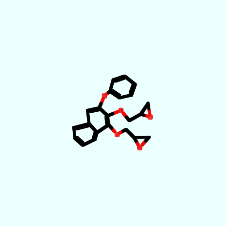 c1ccc(Oc2cc3ccccc3c(OCC3CO3)c2OCC2CO2)cc1